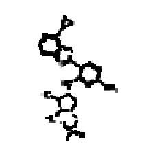 CS(=O)(=O)C[C@H]1C[C@@H](Nc2nc(N)ncc2-c2nc3c(C4CC4)nccc3s2)[C@H](O)[C@@H]1O